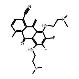 C=C1c2c(C#N)ccc(C)c2C(=O)c2c(NCCN(C)C)c(F)c(F)c(NCCN(C)C)c21